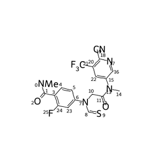 CNC(=O)c1ccc(N(C=S)CC(=O)N(C)c2cnc(C#N)c(C(F)(F)F)c2)cc1F